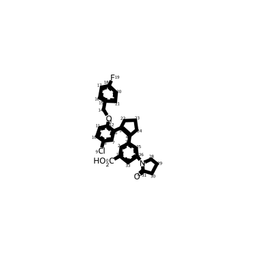 O=C(O)c1cc(C2=C(c3cc(Cl)ccc3OCc3ccc(F)cc3)CCC2)cc(N2CCCC2=O)c1